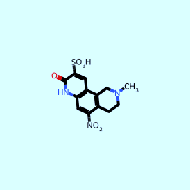 CN1CCc2c([N+](=O)[O-])cc3[nH]c(=O)c(S(=O)(=O)O)cc3c2C1